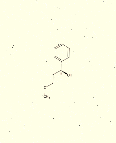 COC[CH][C@H](O)c1ccccc1